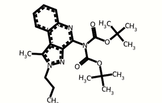 CCCn1nc2c(N(C(=O)OC(C)(C)C)C(=O)OC(C)(C)C)nc3ccccc3c2c1C